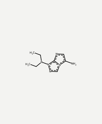 CCN(CC)n1ncn2c(N)cnc12